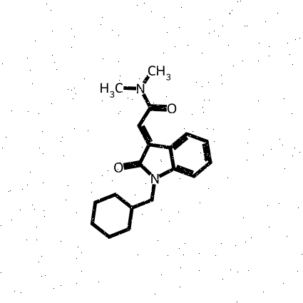 CN(C)C(=O)/C=C1/C(=O)N(CC2CCCCC2)c2ccccc21